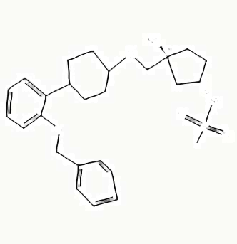 CS(=O)(=O)N[C@H]1CC[C@@](C#N)(COC2CCC(c3ccccc3OCc3ccccc3)CC2)C1